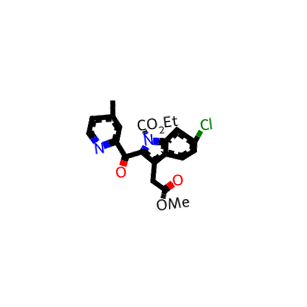 CCOC(=O)n1c(C(=O)c2cc(C)ccn2)c(CC(=O)OC)c2ccc(Cl)cc21